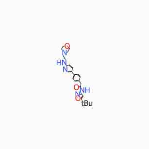 CC(C)(C)c1cc(NC(=O)Cc2ccc(-c3ccc(NCCN4CCOCC4)nc3)cc2)no1